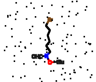 CC(C)(C)ON(C=O)CCCCCCBr